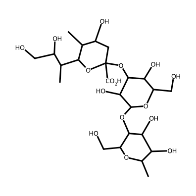 CC1OC(CO)C(OC2OC(CO)C(O)C(OC3(C(=O)O)CC(O)C(C)C(C(C)C(O)CO)O3)C2O)C(O)C1O